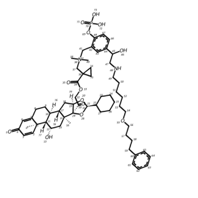 C[C@]12C=CC(=O)C=C1CC[C@@H]1[C@@H]2[C@@H](O)C[C@@]2(C)[C@H]1C[C@H]1O[C@@H](C3CCCCC3)O[C@]12C(=O)COC(=O)C1(C[N+](C)(C)Cc2cc(C(O)CNCCCCCCOCCCCc3ccccc3)ccc2OP(=O)(O)O)CC1